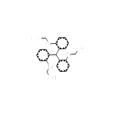 CCNc1ccccc1[C](c1ccccc1NCC)c1ccccc1NCC